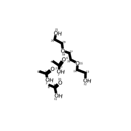 CC(=O)O.CC(=O)O.CC(=O)O.OCCOCCOCCO